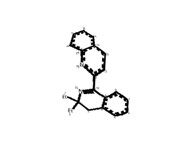 CCC1(CC)Cc2ccccc2C(c2ccc3ccccc3n2)=N1